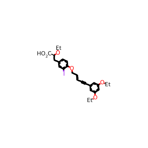 CCOc1cc(C#C/C=C/COc2ccc(C[C@H](OCC)C(=O)O)cc2I)cc(OCC)c1